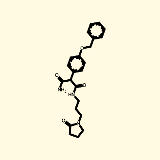 NC(=O)C(C(=O)NCCCN1CCCC1=O)c1ccc(OCc2ccccc2)cc1